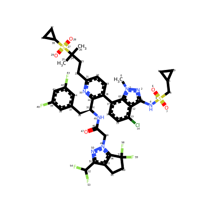 Cn1nc(NS(=O)(=O)CC2CC2)c2c(Cl)ccc(-c3ccc(CCC(C)(C)S(=O)(=O)C4CC4)nc3[C@H](Cc3cc(F)cc(F)c3)NC(=O)Cn3nc(C(F)F)c4c3C(F)(F)CC4)c21